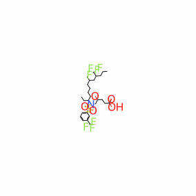 CCC1C(CCCC(C)CC(CC(C)F)C(F)(F)F)OC(CCC(=O)O)CN1S(=O)(=O)c1cccc(C(F)(F)F)c1